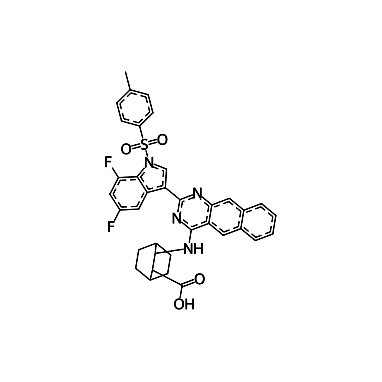 Cc1ccc(S(=O)(=O)n2cc(-c3nc(NC4C5CCC(CC5)C4C(=O)O)c4cc5ccccc5cc4n3)c3cc(F)cc(F)c32)cc1